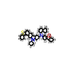 c1ccc(-n2c3ccc(N(c4ccc5c(c4)oc4ccccc45)c4cccc5ccccc45)cc3c3cc4ccc5sc6ccccc6c5c4cc32)cc1